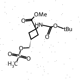 COC(=O)[C@]1(NC(=O)OC(C)(C)C)C[C@H](COS(C)(=O)=O)C1